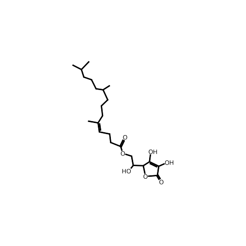 CC(=CCCC(=O)OCC(O)C1OC(=O)C(O)=C1O)CCCC(C)CCCC(C)C